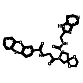 O=C(NCC(=O)N1CC2(C[C@H]1C(=O)NCc1nc3cnccc3[nH]1)OCCO2)c1ccc2c(c1)Oc1ccccc1S2